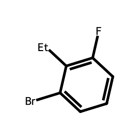 CCc1c(F)cccc1Br